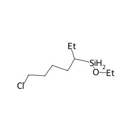 CCO[SiH2]C(CC)CCCCCl